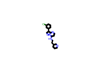 Clc1cccc(-c2cnn3c(NCCc4cccnc4)ccnc23)c1